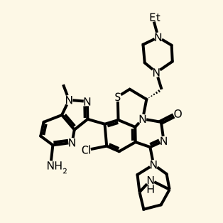 CCN1CCN(C[C@H]2CSc3c(-c4nn(C)c5ccc(N)nc45)c(Cl)cc4c(N5CC6CCC(C5)N6)nc(=O)n2c34)CC1